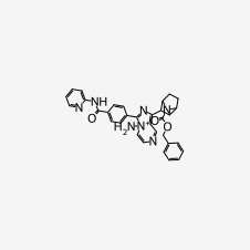 N[N+]12C=CN=CC1=C(C1CC3CCC1N3C(=O)OCc1ccccc1)N=C2c1ccc(C(=O)Nc2ccccn2)cc1